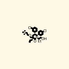 C=CC[C@@]1(COCCS(C)(C)C)C[C@H](c2cccc(Cl)c2)[C@@H](c2ccc(Cl)cc2)N([C@@H](CC)CO)C1=O